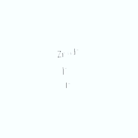 [I-].[I-].[I-].[Zr+3]